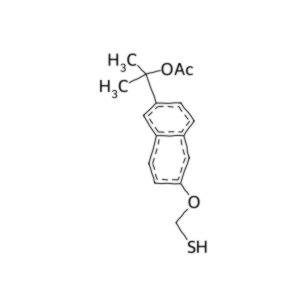 CC(=O)OC(C)(C)c1ccc2cc(OCS)ccc2c1